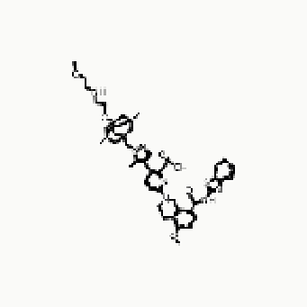 COCCNCCOC12CC3(Cn4ncc(-c5ccc(N6CCc7c(OC)ccc(C(=O)Nc8nc9ccccc9s8)c7C6)nc5C(=O)O)c4C)C[C@@](C)(C1)C[C@](C)(C3)C2